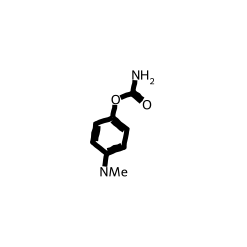 CNc1ccc(OC(N)=O)cc1